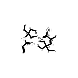 C=CC(=O)OC(CC)(CC)CC.CCC(C=C(C)C(=O)O)(CC)CC